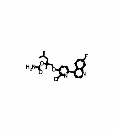 CC(C)CC(C)(COc1ccc(-c2ccnc3cc(F)ccc23)nc1Cl)OC(N)=O